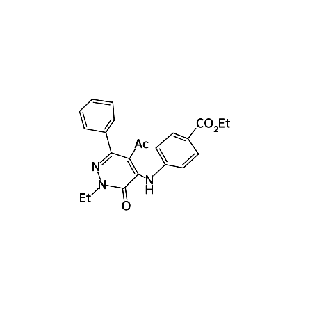 CCOC(=O)c1ccc(Nc2c(C(C)=O)c(-c3ccccc3)nn(CC)c2=O)cc1